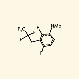 CNc1ccc(F)c(CC(F)(F)C(F)(F)F)c1F